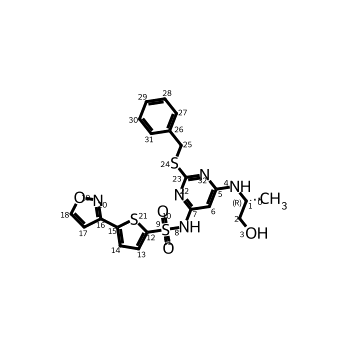 C[C@H](CO)Nc1cc(NS(=O)(=O)c2ccc(-c3ccon3)s2)nc(SCc2ccccc2)n1